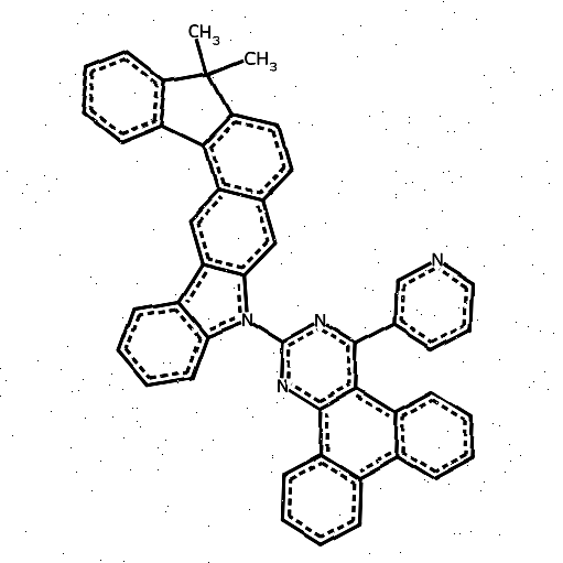 CC1(C)c2ccccc2-c2c1ccc1cc3c(cc21)c1ccccc1n3-c1nc(-c2cccnc2)c2c3ccccc3c3ccccc3c2n1